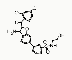 NC1c2ccc(-c3cccc(S(=O)(=O)NCCO)c3)cc2OC1C(=O)c1ccc(Cl)cc1Cl